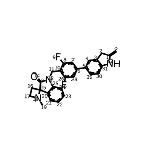 C=C1Cc2cc(-c3cc(F)c(CN4C(=O)C5(CCN5C)c5ccccc54)c(F)c3)ccc2N1